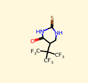 O=C1NC(=S)NCC1C(C(F)(F)F)(C(F)(F)F)C(F)(F)F